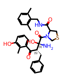 Cc1cccc(C)c1CNC(=O)C1CSCN1C(=O)[C@@](N)(O)[C@H](Cc1ccccc1)C(=O)c1cccc(O)c1C